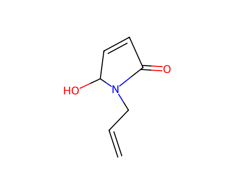 C=CCN1C(=O)C=CC1O